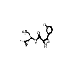 C[C@H]1C[C@H]1[C@@H](CN)NC(=O)c1[nH]sc1-c1cccc(Cl)c1